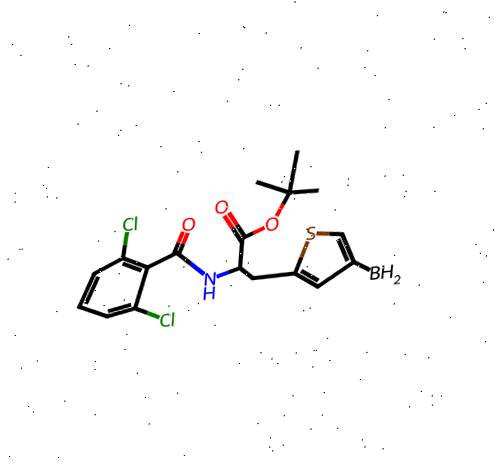 Bc1csc(CC(NC(=O)c2c(Cl)cccc2Cl)C(=O)OC(C)(C)C)c1